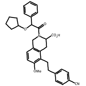 COc1ccc2c(c1CCc1ccc(C#N)cc1)CC(C(=O)O)N(C(=O)C(OC1CCCC1)c1ccccc1)C2